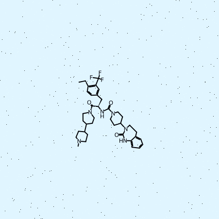 CCc1ccc(C[C@@H](NC(=O)N2CCC(N3CCc4ccccc4NC3=O)CC2)C(=O)N2CCC(C3CCN(C)CC3)CC2)cc1C(F)(F)F